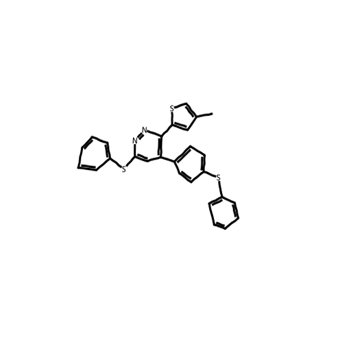 Cc1csc(-c2nnc(Sc3ccccc3)cc2-c2ccc(Sc3ccccc3)cc2)c1